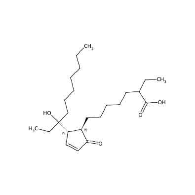 CCCCCCCC(O)(CC)[C@H]1C=CC(=O)[C@@H]1CCCCCC(CC)C(=O)O